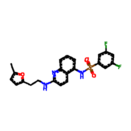 Cc1ccc(CCNc2ccc3c(NS(=O)(=O)c4cc(F)cc(F)c4)cccc3n2)o1